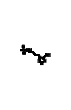 CS(=O)(=O)NCCCCn1nnnc1S